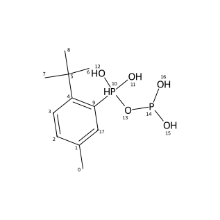 Cc1ccc(C(C)(C)C)c([PH](O)(O)OP(O)O)c1